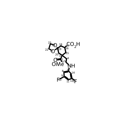 COC(=O)C1(CCNc2cc(F)cc(F)c2)CC(C(=O)O)CC2(C1)OCCO2